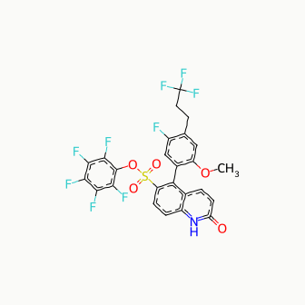 COc1cc(CCC(F)(F)F)c(F)cc1-c1c(S(=O)(=O)Oc2c(F)c(F)c(F)c(F)c2F)ccc2[nH]c(=O)ccc12